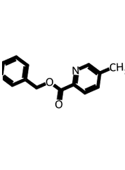 Cc1ccc(C(=O)OCc2ccccc2)nc1